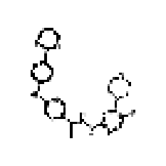 O=C(NNc1ncc(F)c(N2CCOCC2)n1)c1ccc(Nc2ccc(-c3ncccn3)cc2)cn1